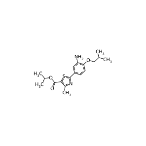 Cc1nc(-c2ccc(OCC(C)C)c(N)c2)sc1C(=O)OC(C)C